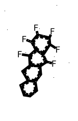 Fc1c(F)c(F)c2c(F)c3cc4ccccc4cc3c(F)c2c1F